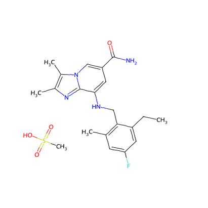 CCc1cc(F)cc(C)c1CNc1cc(C(N)=O)cn2c(C)c(C)nc12.CS(=O)(=O)O